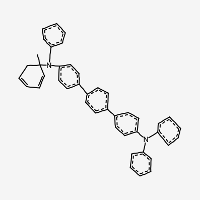 CC1(N(c2ccccc2)c2ccc(-c3ccc(-c4ccc(N(c5ccccc5)c5ccccc5)cc4)cc3)cc2)C=CC=CC1